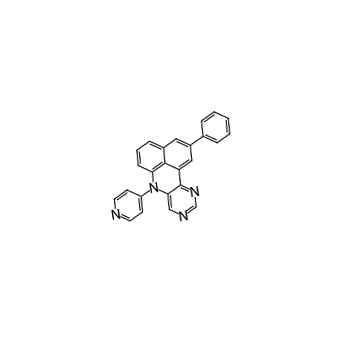 c1ccc(-c2cc3c4c(cccc4c2)N(c2ccncc2)c2cncnc2-3)cc1